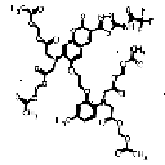 CC(=O)OCOC(=O)CN(CC(=O)OCOC(C)=O)c1ccc(C)cc1OCCOc1cc2cc(-c3nnc(NC(=O)C(F)(F)F)s3)c(=O)oc2cc1N(CC(=O)OCOC(C)=O)CC(=O)OCOC(C)=O